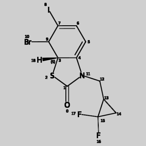 O=C1S[C@H]2C(=CC=C(I)C2Br)N1CC1CC1(F)F